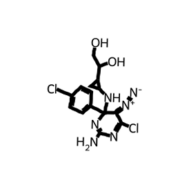 [N-]=[N+]=C1C(Cl)=NC(N)=NC1(NC1CC1C(O)CO)c1ccc(Cl)cc1